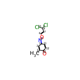 CC1=CC(=NOC=CC(Cl)Cl)C=CC1=O